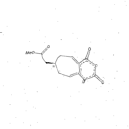 COC(=O)C[C@@H]1CC=c2[nH]c(=O)oc(=O)c2=CC1